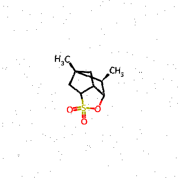 C[C@H]1C2OS(=O)(=O)C3CC1(C)CC23